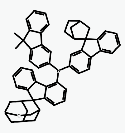 CC1(C)c2ccccc2-c2cc(N(c3ccc4c(c3)C3(CC5CCC3C5)c3ccccc3-4)c3cccc4c3-c3ccccc3C43C4CCC5CC(C4)CC3C5)ccc21